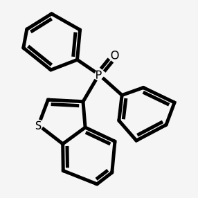 O=P(c1ccccc1)(c1ccccc1)c1csc2ccccc12